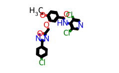 COc1ccc(C(=O)Nc2c(Cl)cncc2Cl)cc1OCc1nc(-c2ccc(Cl)cc2)no1